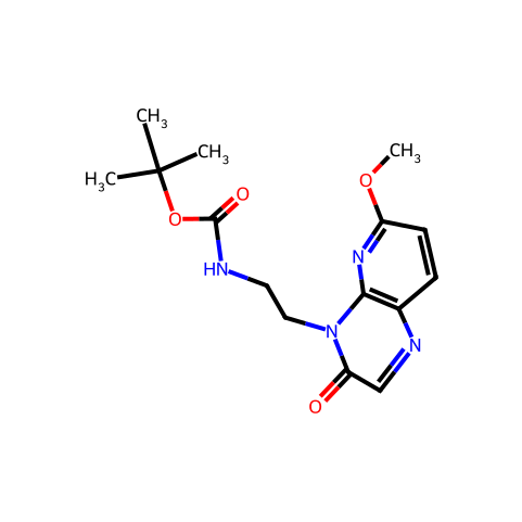 COc1ccc2ncc(=O)n(CCNC(=O)OC(C)(C)C)c2n1